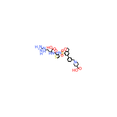 N=C(N)NCCC[C@H](NC(=O)c1sccc1NS(=O)(=O)c1cc(-c2cccc(CN3CCC(C(=O)O)CC3)c2)cc2c1OCC2)C(=O)O